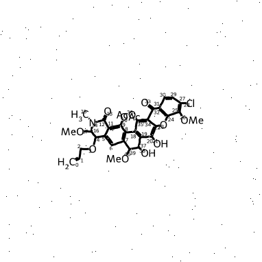 C=CCOC1c2cc3c(c(OC(C)=O)c2C(=O)N(C)C1OC)-c1c(c(O)c2oc4c(OC)c(Cl)ccc4c(=O)c2c1OC(C)=O)C(O)C3OC